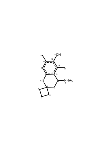 CC(=O)NC1CC2(CCC2)Oc2cc(C)c(O)c(C)c21